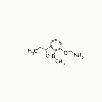 CCC1OB(C)c2c(OCN)cccc21